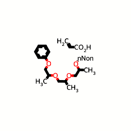 C=CC(=O)O.CCCCCCCCCOC(C)COC(C)COC(C)COc1ccccc1